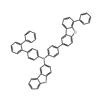 c1ccc(-c2ccccc2-c2ccc(N(c3ccc(-c4ccc5oc6c(-c7ccccc7)cccc6c5c4)cc3)c3ccc4sc5ccccc5c4c3)cc2)cc1